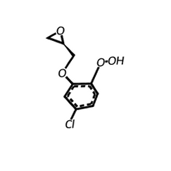 OOc1ccc(Cl)cc1OC[C@H]1CO1